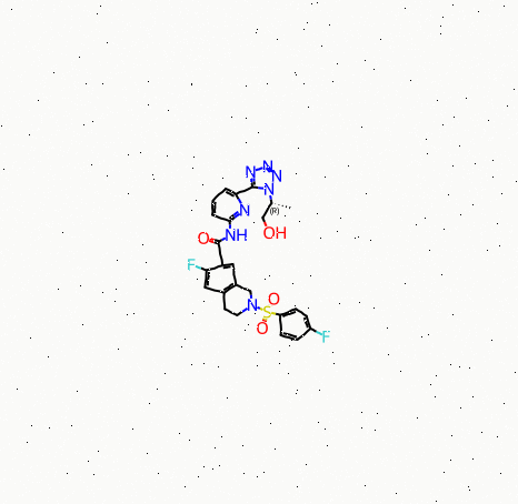 C[C@H](CO)n1nnnc1-c1cccc(NC(=O)c2cc3c(cc2F)CCN(S(=O)(=O)c2ccc(F)cc2)C3)n1